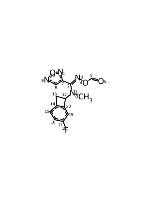 CN(/C(=N\OC=O)c1cnon1)C1Cc2ccc(F)cc21